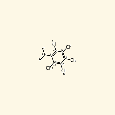 CC(C)c1c(Cl)c(Cl)c(Cl)c(Cl)c1Cl